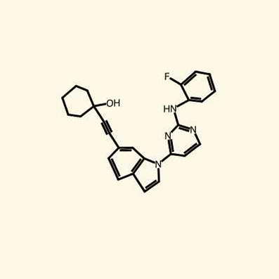 OC1(C#Cc2ccc3ccn(-c4ccnc(Nc5ccccc5F)n4)c3c2)CCCCC1